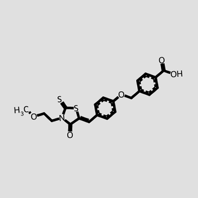 COCCN1C(=O)C(=Cc2ccc(OCc3ccc(C(=O)O)cc3)cc2)SC1=S